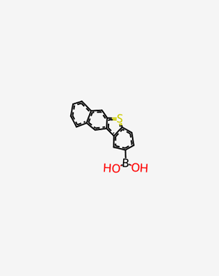 OB(O)c1ccc2sc3cc4ccccc4cc3c2c1